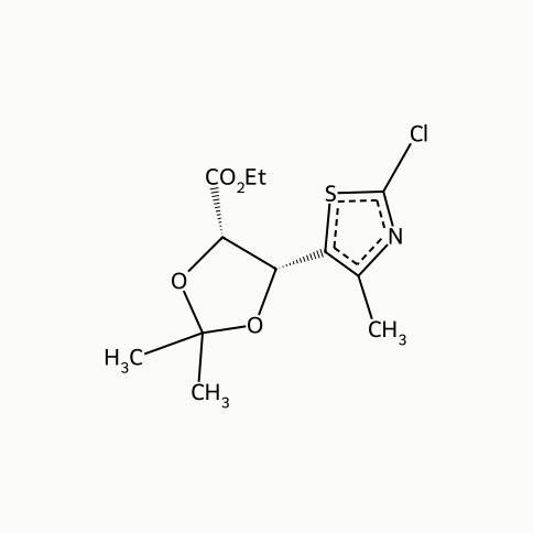 CCOC(=O)[C@H]1OC(C)(C)O[C@H]1c1sc(Cl)nc1C